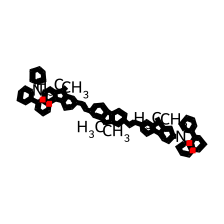 CC1(C)c2cc(/C=C/c3ccc4c(c3)C(C)(C)c3cc(N(c5ccccc5)c5ccccc5-c5ccccc5)ccc3-4)ccc2-c2ccc(/C=C/c3ccc4c(c3)C(C)(C)c3cc(N(c5ccccc5)c5ccccc5-c5ccccc5)ccc3-4)cc21